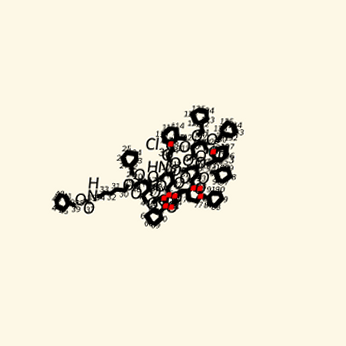 CC1O[C@@H](OC2[C@H](O[C@@H]3C(NC(=O)OCC(Cl)(Cl)Cl)[C@H](O[C@@H]4C(OCc5ccccc5)[C@@H](OCCCCCNC(=O)OCc5ccccc5)OC5COC(c6ccccc6)O[C@@H]54)OC(COC(=O)c4ccccc4)[C@@H]3OC(=O)c3ccccc3)OC(COCc3ccccc3)[C@H](OCc3ccccc3)[C@H]2OCc2ccccc2)C(OCc2ccccc2)[C@@H](OCc2ccccc2)[C@@H]1OCc1ccccc1